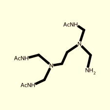 CC(=O)NCN(CN)CCN(CNC(C)=O)CNC(C)=O